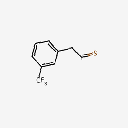 FC(F)(F)c1cccc(C[C]=S)c1